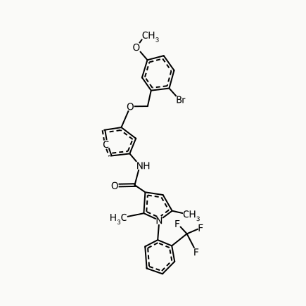 COc1ccc(Br)c(COc2cccc(NC(=O)c3cc(C)n(-c4ccccc4C(F)(F)F)c3C)c2)c1